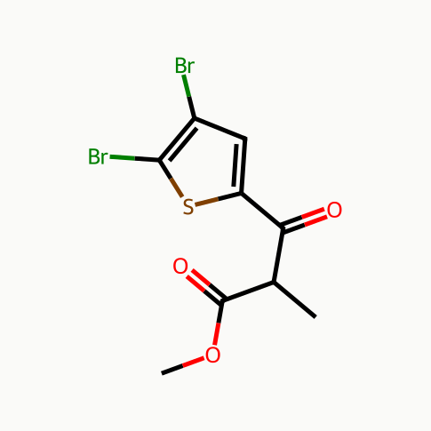 COC(=O)C(C)C(=O)c1cc(Br)c(Br)s1